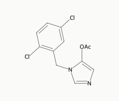 CC(=O)Oc1cncn1Cc1cc(Cl)ccc1Cl